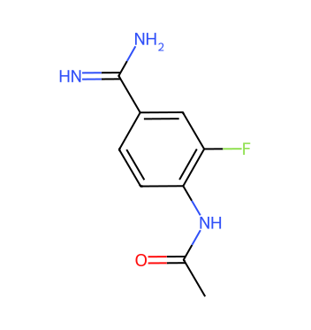 CC(=O)Nc1ccc(C(=N)N)cc1F